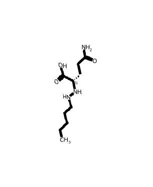 CCCCCNN[C@@H](CCC(N)=O)C(=O)O